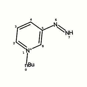 CCCC[n+]1cccc(N=N)c1